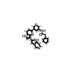 O=C(Cc1ccccc1)Nc1cncc(-c2ccc3[nH]nc(-c4cc5cnccc5[nH]4)c3n2)c1